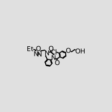 CCc1nnc(CN2Cc3ccccc3N(C(=O)c3ccc(OCCO)cc3Cl)CC2=O)o1